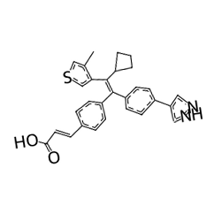 Cc1cscc1C(=C(c1ccc(C=CC(=O)O)cc1)c1ccc(-c2cn[nH]c2)cc1)C1CCC1